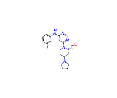 Cc1cccc(Nc2cc(N3CCC(N4CCCC4)CC3=C=O)ncn2)c1